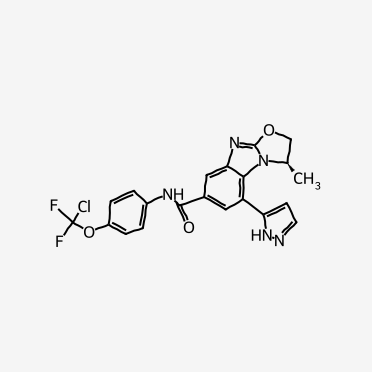 C[C@@H]1COc2nc3cc(C(=O)Nc4ccc(OC(F)(F)Cl)cc4)cc(-c4ccn[nH]4)c3n21